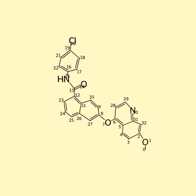 COc1ccc2c(Oc3ccc4c(C(=O)Nc5ccc(Cl)cc5)cccc4c3)ccnc2c1